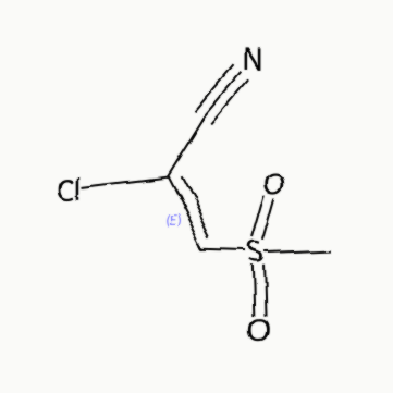 CS(=O)(=O)/C=C(/Cl)C#N